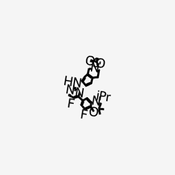 CC(C)N1CC(C)(C)Oc2c(F)cc(-c3nc(Nc4ccc5c(c4)CN(S(C)(=O)=O)CC5)ncc3F)cc21